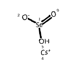 O=[Se]([O-])O.[Cs+]